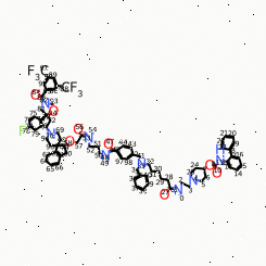 CN(CCN1CCC(OC(=O)Nc2ccccc2-c2ccccc2)CC1)C(=O)CCCCCN(Cc1ccccc1)Cc1ccc(C(=O)N(C)CCCN(C)C(=O)CO[C@H]2CC3=C(CCC=C3)C23CCN(CC[C@@]2(c4ccc(F)cc4)CN(C(=O)c4cc(C(F)(F)F)cc(C(F)(F)F)c4)CO2)CC3)cc1